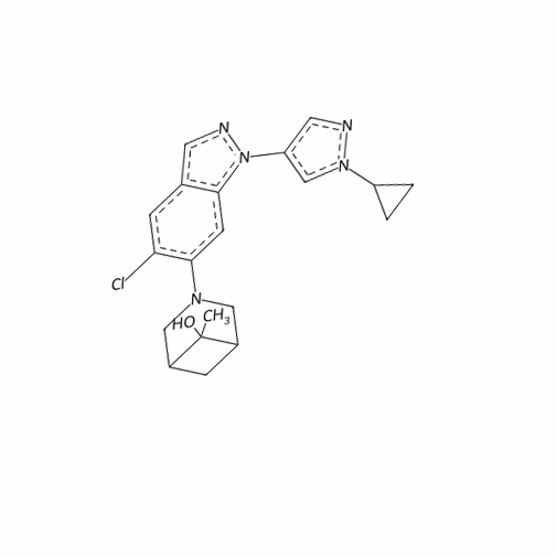 CC1(O)C2CC1CN(c1cc3c(cnn3-c3cnn(C4CC4)c3)cc1Cl)C2